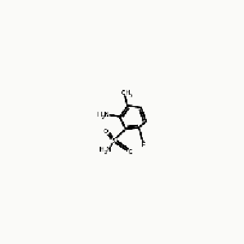 Cc1ccc(F)c(S(N)(=O)=O)c1N